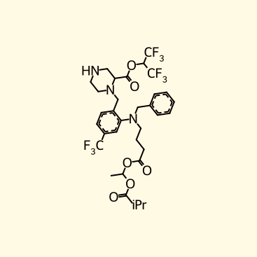 CC(OC(=O)CCCN(Cc1ccccc1)c1cc(C(F)(F)F)ccc1CN1CCNCC1C(=O)OC(C(F)(F)F)C(F)(F)F)OC(=O)C(C)C